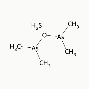 C[As](C)O[As](C)C.S